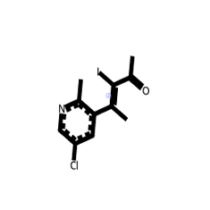 CC(=O)/C(I)=C(\C)c1cc(Cl)cnc1C